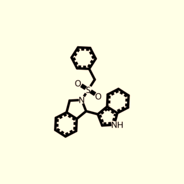 O=S(=O)(Cc1ccccc1)N1Cc2ccccc2C1c1c[nH]c2ccccc12